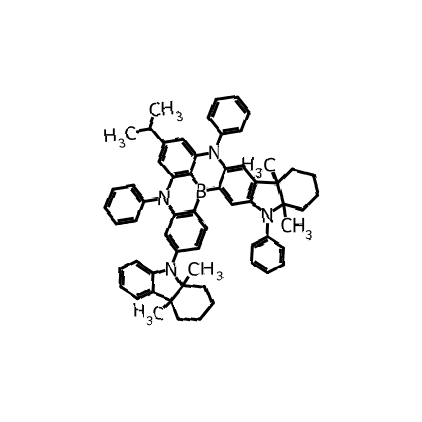 CC(C)c1cc2c3c(c1)N(c1ccccc1)c1cc4c(cc1B3c1ccc(N3c5ccccc5C5(C)CCCCC35C)cc1N2c1ccccc1)N(c1ccccc1)C1(C)CCCCC41C